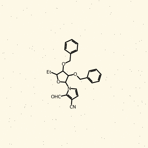 CCC1OC(n2ccc(C#N)c2C=O)C(OCc2ccccc2)C1OCc1ccccc1